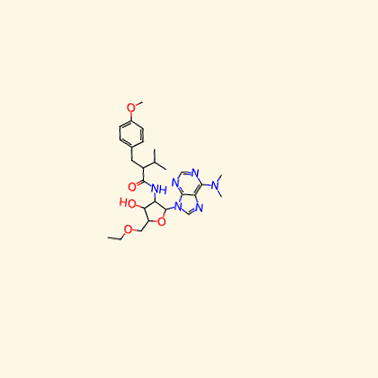 CCOCC1OC(n2cnc3c(N(C)C)ncnc32)C(NC(=O)C(Cc2ccc(OC)cc2)C(C)C)C1O